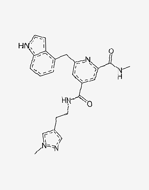 CNC(=O)c1cc(C(=O)NCCc2cnn(C)c2)cc(Cc2cccc3[nH]ccc23)n1